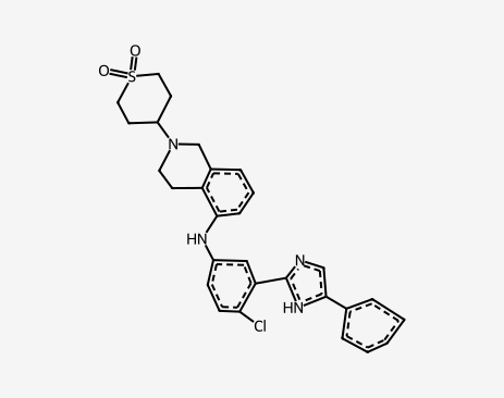 O=S1(=O)CCC(N2CCc3c(cccc3Nc3ccc(Cl)c(-c4ncc(-c5ccccc5)[nH]4)c3)C2)CC1